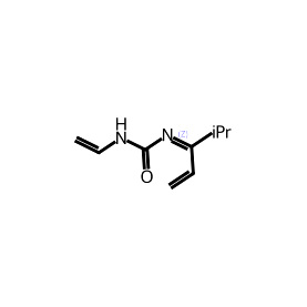 C=CNC(=O)/N=C(\C=C)C(C)C